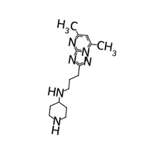 Cc1cc(C)n2nc(CCCNC3CCNCC3)nc2n1